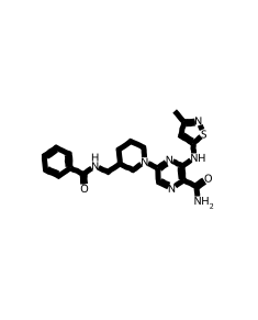 Cc1cc(Nc2nc(N3CCCC(CNC(=O)c4ccccc4)C3)cnc2C(N)=O)sn1